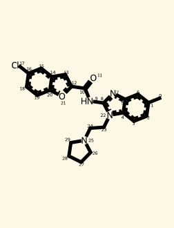 Cc1ccc2c(c1)nc(NC(=O)c1cc3cc(Cl)ccc3o1)n2CCN1CCCC1